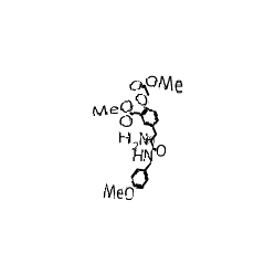 COC(=O)COc1ccc(C[C@H](N)C(=O)NCc2ccc(OC)cc2)cc1C(=O)OC